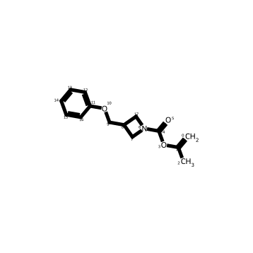 C=C(C)OC(=O)N1CC(COc2ccccc2)C1